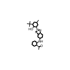 CC(=O)c1ccccc1Nc1ccc2nn(-c3cc(C)cc(C(C)(C)C)c3O)nc2c1